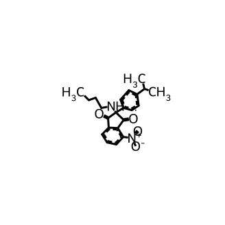 CCCCNC1(c2[c]cc(C(C)C)cc2)C(=O)c2cccc([N+](=O)[O-])c2C1=O